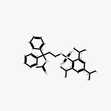 CC(=O)OC(CCOS(=O)(=O)c1c(C(C)C)cc(C(C)C)cc1C(C)C)(c1ccccc1)c1ccccc1